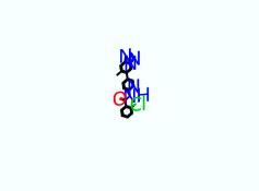 Cc1cc2ncnn2cc1-c1ccc(NC(=O)c2ccccc2Cl)nc1